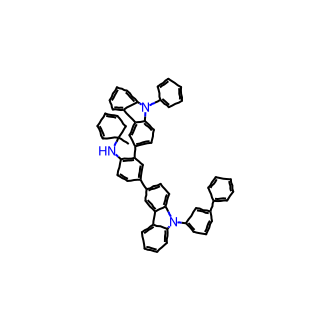 CC1(Nc2ccc(-c3ccc4c(c3)c3ccccc3n4-c3cccc(-c4ccccc4)c3)cc2-c2ccc3c(c2)c2ccccc2n3-c2ccccc2)C=CC=CC1